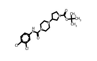 CC(C)(C)OC(=O)N1CCC(N2CCN(C(=O)Nc3ccc(Cl)c(Cl)c3)CC2)C1